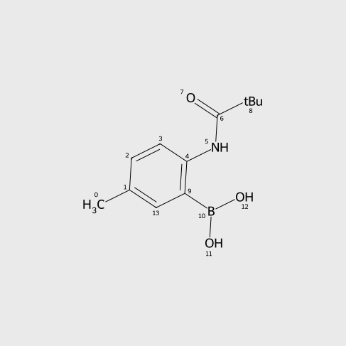 Cc1ccc(NC(=O)C(C)(C)C)c(B(O)O)c1